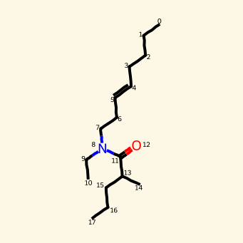 CCCC/C=C/CCN(CC)C(=O)C(C)CCC